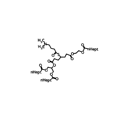 CCCCCCCC(=O)OCCOC(=O)CCC(CCC(=O)OC(COC(=O)CCCCCCC)COC(=O)CCCCCCC)SC(=O)CCCN(C)C